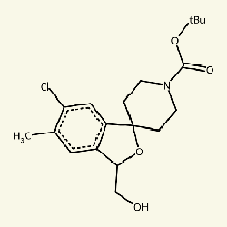 Cc1cc2c(cc1Cl)C1(CCN(C(=O)OC(C)(C)C)CC1)OC2CO